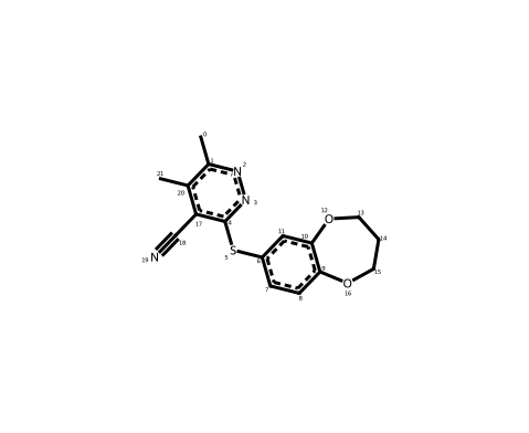 Cc1nnc(Sc2ccc3c(c2)OCCCO3)c(C#N)c1C